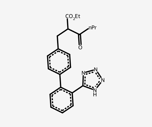 CCCC(=O)C(Cc1ccc(-c2ccccc2-c2nnn[nH]2)cc1)C(=O)OCC